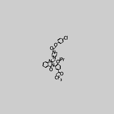 CC(C)Oc1ccc(C(=O)CC(F)(F)F)cc1-n1c(CN2CCN(C(=O)COc3ccc(Cl)cc3)CC2)nc2ccccc2c1=O